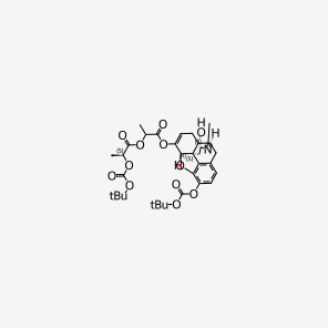 CC(OC(=O)[C@H](C)OC(=O)OC(C)(C)C)C(=O)OC1=CC[C@@]2(O)[C@H]3Cc4ccc(OC(=O)OC(C)(C)C)c5c4[C@@]2(CCN3C)[C@H]1O5